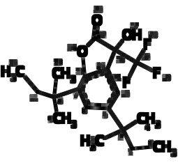 CCC(C)(C)c1cc(C(C)(C)CC)c2c(c1)C(O)(C(F)(F)F)C(=O)O2